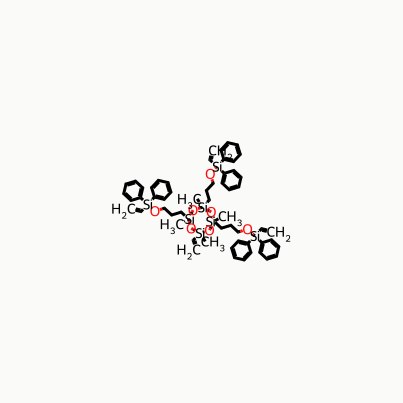 C=C[Si]1(C)O[Si](C)(CCCO[Si](C=C)(c2ccccc2)c2ccccc2)O[Si](C)(CCCO[Si](C=C)(c2ccccc2)c2ccccc2)O[Si](C)(CCCO[Si](C=C)(c2ccccc2)c2ccccc2)O1